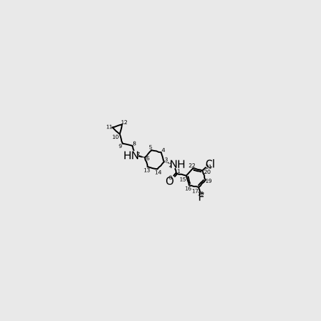 O=C(N[C@H]1CC[C@H](NCCC2CC2)CC1)c1cc(F)cc(Cl)c1